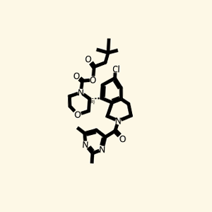 Cc1cc(C(=O)N2CCc3cc(Cl)cc([C@@H]4COCCN4C(=O)OC(=O)CC(C)(C)C)c3C2)nc(C)n1